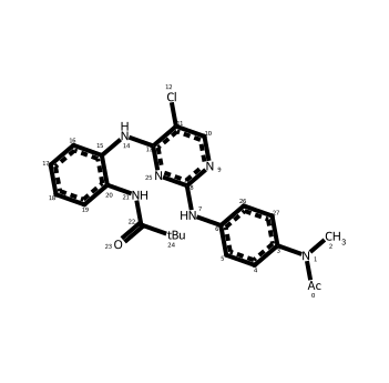 CC(=O)N(C)c1ccc(Nc2ncc(Cl)c(Nc3ccccc3NC(=O)C(C)(C)C)n2)cc1